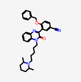 CC1CCCC(C)N1CCCCCn1c(=O)c(-c2cc(C#N)ccc2OCc2ccccc2)nc2ccccc21